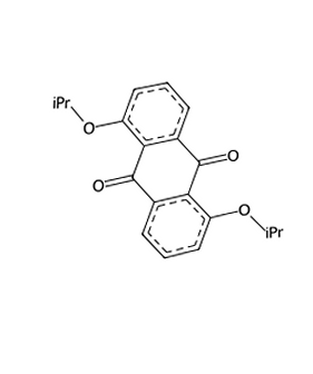 CC(C)Oc1cccc2c1C(=O)c1cccc(OC(C)C)c1C2=O